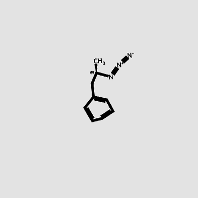 C[C@H](Cc1cc[c]cc1)N=[N+]=[N-]